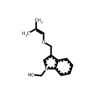 CC(C)=COCc1cn(CC#N)c2ccccc12